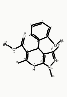 CCOc1ccccc1C1C(C(=O)OC(C)C)=C(C)Nc2c1c(C)nn2C